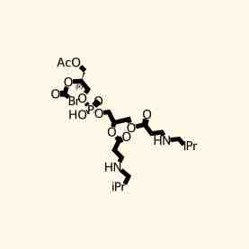 CC(=O)OC[C@H](COP(=O)(O)OCC(COC(=O)CCNCC(C)C)OC(=O)CCNCC(C)C)OC(=O)Br